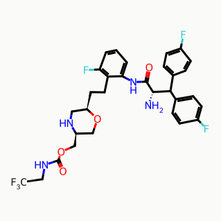 N[C@H](C(=O)Nc1cccc(F)c1CC[C@@H]1CN[C@H](COC(=O)NCC(F)(F)F)CO1)C(c1ccc(F)cc1)c1ccc(F)cc1